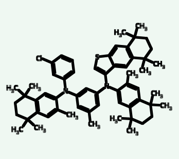 Cc1cc(N(c2cccc(Cl)c2)c2cc3c(cc2C)C(C)(C)CCC3(C)C)cc(N(c2cc3c(cc2C)C(C)(C)CCC3(C)C)c2csc3cc4c(cc23)C(C)(C)CCC4(C)C)c1